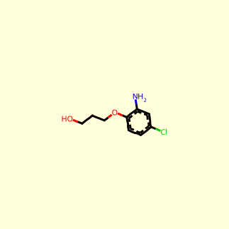 Nc1cc(Cl)ccc1OCCCO